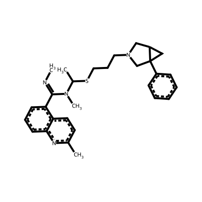 C/N=C(/c1cccc2nc(C)ccc12)N(C)C(C)SCCCN1CC2CC2(c2ccccc2)C1